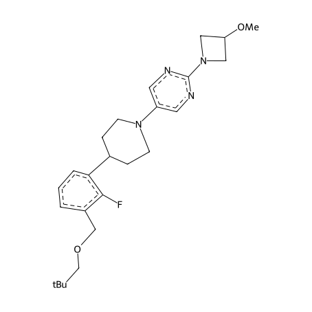 COC1CN(c2ncc(N3CCC(c4cccc(COCC(C)(C)C)c4F)CC3)cn2)C1